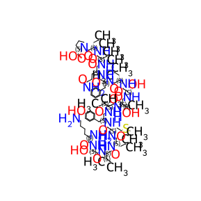 CC[C@H](C)[C@H](NC(=O)[C@H](CO)NC(=O)[C@@H](N)CCCCN)C(=O)N[C@@H](CC(C)C)C(=O)N[C@@H](CCSC)C(=O)N[C@@H](Cc1ccc(O)cc1)C(=O)N[C@H](C(=O)N[C@H](C(=O)N[C@@H](CO)C(=O)N[C@@H](CC(C)C)C(=O)N[C@@H](Cc1ccccc1)C(=O)N[C@@H](CCC(N)=O)C(=O)N[C@H](C(=O)N[C@@H](CC(C)C)C(=O)N1CCC[C@H]1C(=O)O)C(C)C)[C@@H](C)O)[C@@H](C)CC